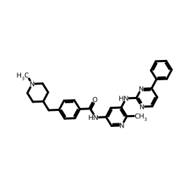 Cc1ncc(NC(=O)c2ccc(CC3CCN(C)CC3)cc2)cc1Nc1nccc(-c2ccccc2)n1